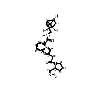 CC1(C)[C@@H]2CC[C@@H](CNC(=O)c3cccc4nc(CC(=O)N5CCCC5CN)cn34)[C@@H]1C2